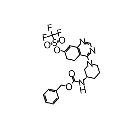 O=C(N[C@@H]1CCCN(c2ncnc3c2CCC(OS(=O)(=O)C(F)(F)F)=C3)C1)OCc1ccccc1